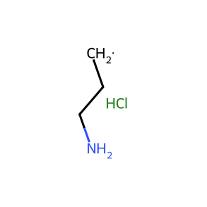 Cl.[CH2]CCN